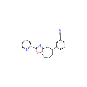 N#Cc1cccc(C2CCCc3oc(-c4ccccn4)nc3C2)c1